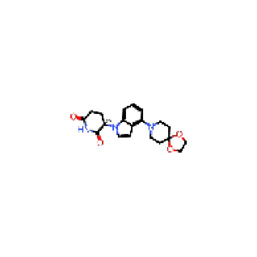 O=C1CC[C@@H](n2ccc3c(N4CCC5(CC4)OCCO5)cccc32)C(=O)N1